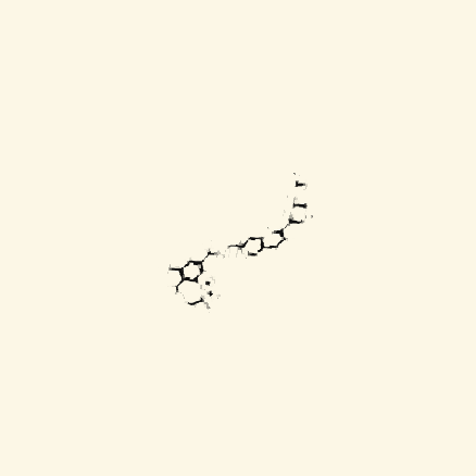 O=C(NCc1cc2nc(-c3cncc(OC(F)F)n3)ccc2cn1)c1cc(Cl)c2c(c1)S(=O)(=O)[C@@H](F)COC2